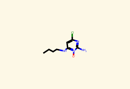 CCCCNc1cc(Cl)nc(N)[n+]1[O-]